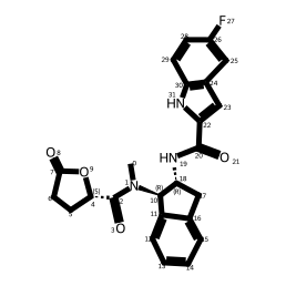 CN(C(=O)[C@@H]1CCC(=O)O1)[C@@H]1c2ccccc2C[C@H]1NC(=O)c1cc2cc(F)ccc2[nH]1